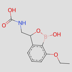 CCOc1cccc2c1B(O)OC2CNC(=O)O